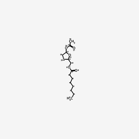 CCCCCCCC(=O)OCC1OC(OC(C)=O)CS1